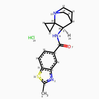 Cc1nc2cc(C(=O)N[C@@H]3C4CCN(CC4)C34CC4)ccc2s1.Cl